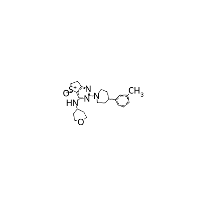 Cc1cccc(C2CCN(c3nc4c(c(NC5CCOCC5)n3)[S+]([O-])CC4)CC2)c1